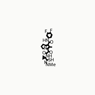 CN/N=C(\S)C1(NC(=O)C(=O)c2c(C)c(C(=O)Nc3ccc(F)c(F)c3)c3n2CCC3)CC1